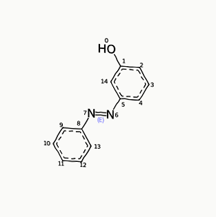 Oc1cccc(/N=N/c2ccccc2)c1